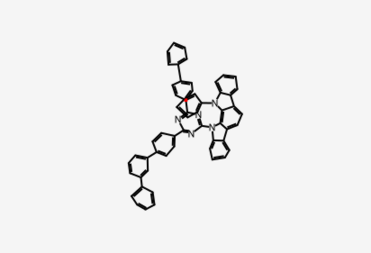 c1ccc(-c2ccc(-c3nc(-c4ccc(-c5cccc(-c6ccccc6)c5)cc4)nc(-n4c5ccccc5c5ccc6c7ccccc7n(-c7ccccc7)c6c54)n3)cc2)cc1